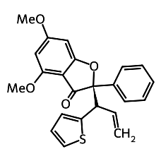 C=CC(c1cccs1)[C@]1(c2ccccc2)Oc2cc(OC)cc(OC)c2C1=O